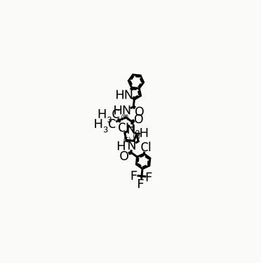 CC(C)(C)[C@H](NC(=O)c1cc2ccccc2[nH]1)C(=O)N1C[C@@H]2C[C@H]1CN2C(=O)c1cc(C(F)(F)F)ccc1Cl